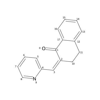 O=C1C(=Cc2ccccn2)CCc2ccccc21